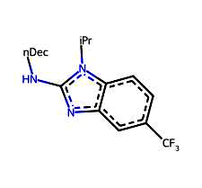 CCCCCCCCCCNc1nc2cc(C(F)(F)F)ccc2n1C(C)C